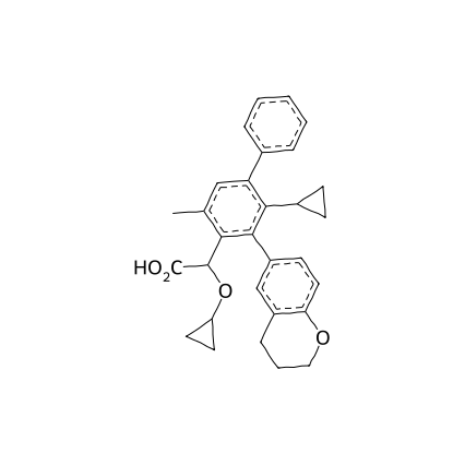 Cc1cc(-c2ccccc2)c(C2CC2)c(-c2ccc3c(c2)CCCO3)c1C(OC1CC1)C(=O)O